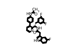 CC(=O)Nc1ccc(-c2cccnc2[C@H](Cc2cc(F)cc(F)c2)NC(=O)Cc2c[nH]c3ccc(F)cc23)cc1